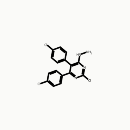 NNc1nc(Cl)nc(-c2ccc(Cl)cc2)c1-c1ccc(Cl)cc1